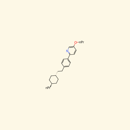 CCCOc1ccc(-c2ccc(CC[C@H]3CC[C@H](CCC)CC3)cc2)nc1